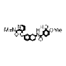 CNC(=O)c1ncccc1Oc1ccc2c(c1)CC(NC(=O)c1ccc(OC)c(O)c1)CC2